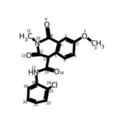 COc1ccc2c(c1)C(=O)N(C)C(=O)C2C(=O)Nc1ccccc1Cl